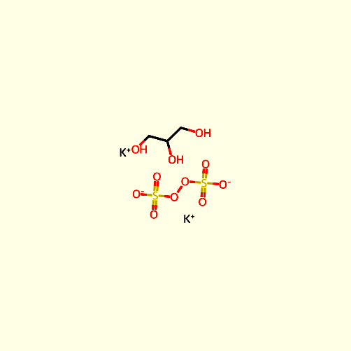 O=S(=O)([O-])OOS(=O)(=O)[O-].OCC(O)CO.[K+].[K+]